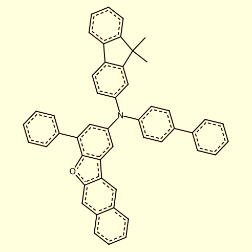 CC1(C)c2ccccc2-c2ccc(N(c3ccc(-c4ccccc4)cc3)c3cc(-c4ccccc4)c4oc5cc6ccccc6cc5c4c3)cc21